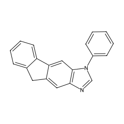 c1ccc(-n2cnc3cc4c(cc32)-c2ccccc2C4)cc1